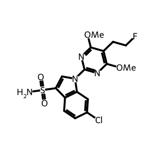 COc1nc(-n2cc(S(N)(=O)=O)c3ccc(Cl)cc32)nc(OC)c1CCF